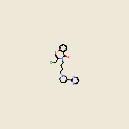 O=C1c2ccccc2OC=C(CCl)N1CCCCN1CCC=C(c2ncccn2)C1